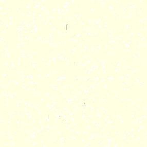 CCCCc1ccc(COc2ccc(C3CN(CCC(=O)O)CCO3)c(C)c2)cc1